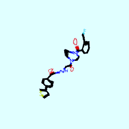 O=C(NCC(=O)N1CCN(C(=O)c2ccccc2CF)CC1)c1ccc(-c2ccsc2)cc1